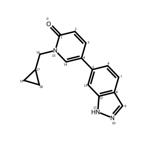 O=c1ccc(-c2ccc3cn[nH]c3c2)cn1CC1CC1